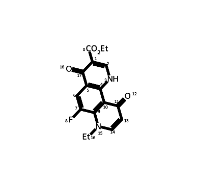 CCOC(=O)c1c[nH]c2c(cc(F)c3c2c(=O)ccn3CC)c1=O